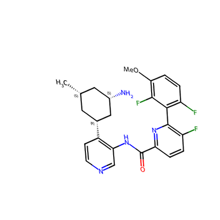 COc1ccc(F)c(-c2nc(C(=O)Nc3cnccc3[C@@H]3C[C@H](C)C[C@H](N)C3)ccc2F)c1F